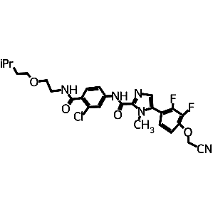 CC(C)CCOCCNC(=O)c1ccc(NC(=O)c2ncc(-c3ccc(OCC#N)c(F)c3F)n2C)cc1Cl